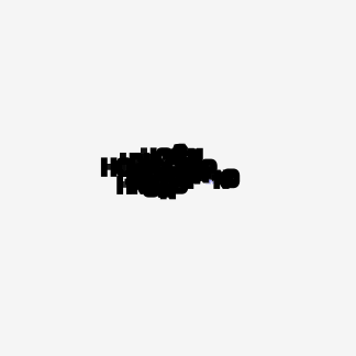 Cc1ncsc1-c1ccc([C@H](C)NC(=O)[C@@H]2C[C@@H](O)CN2C(=O)[C@@H](NC(=O)COCC2CCN(CCOc3nc(N4CCN(C(=O)/C=C/CN5CCOCC5)[C@@H](CC#N)C4)c4cc(Cl)c(-c5cc(O)cc6ccccc56)c(F)c4n3)CC2)C(C)(C)C)cc1